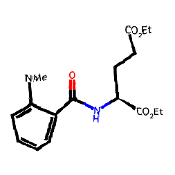 CCOC(=O)CC[C@H](NC(=O)c1ccccc1NC)C(=O)OCC